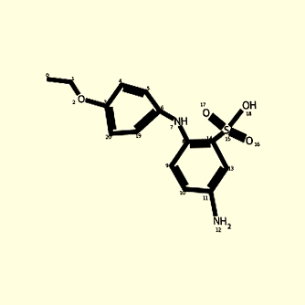 CCOc1ccc(Nc2ccc(N)cc2S(=O)(=O)O)cc1